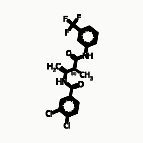 C=C(NC(=O)c1ccc(Cl)c(Cl)c1)[C@H](C)C(=O)Nc1cccc(C(F)(F)F)c1